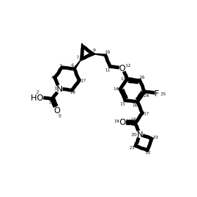 O=C(O)N1CCC([C@H]2C[C@H]2CCOc2ccc(CC(=O)N3CCC3)c(F)c2)CC1